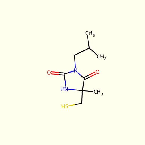 CC(C)CN1C(=O)NC(C)(CS)C1=O